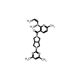 Cc1cc(C)nc(N2CC3CN(C(=O)c4ccc(C)nc4N(N)/C=C\N)CC3C2)n1